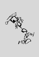 O=C(O)N1CC(O)(c2ccc(C3=NOC(c4cc(Cl)c(F)c(Cl)c4)(C(F)(F)F)C3)cc2)C1